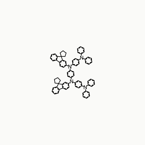 c1ccc(N(c2ccccc2)c2ccc(N(c3ccc(N(c4ccc(N(c5ccccc5)c5ccccc5)cc4)c4ccc5c(c4)C4(CCCC4)c4ccccc4-5)cc3)c3ccc4c(c3)C3(CCCC3)c3ccccc3-4)cc2)cc1